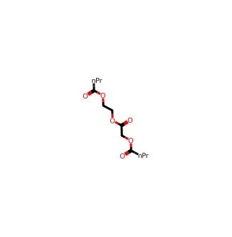 CCCC(=O)OCCOC(=O)COC(=O)CCC